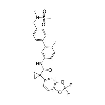 Cc1ccc(NC(=O)C2(c3ccc4c(c3)OC(F)(F)O4)CC2)cc1-c1ccc(CN(C)S(C)(=O)=O)cc1